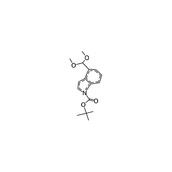 COC(OC)c1cccc2c1ccn2C(=O)OC(C)(C)C